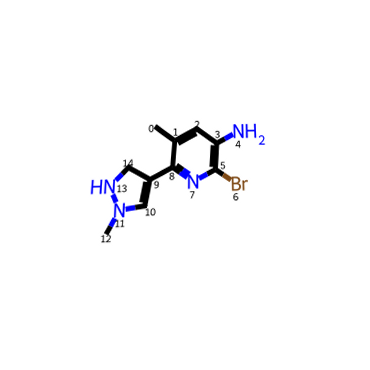 Cc1cc(N)c(Br)nc1C1=CN(C)NC1